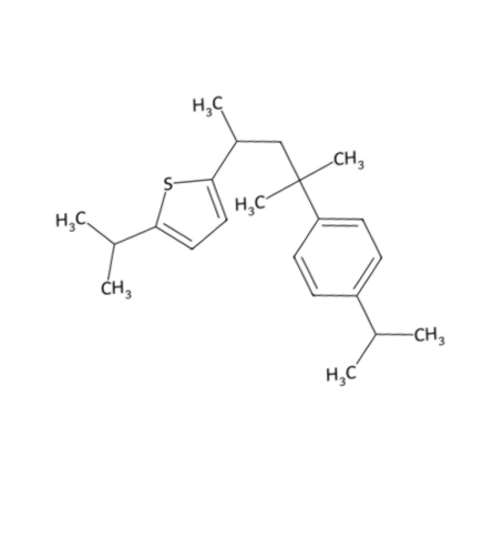 CC(C)c1ccc(C(C)(C)CC(C)c2ccc(C(C)C)s2)cc1